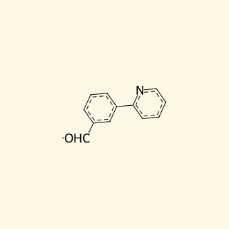 O=[C]c1cccc(-c2ccccn2)c1